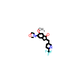 COc1cc2c(cc1N1CCOCC1)CC(=Cc1ccc(C(F)(F)F)nc1)C2=O